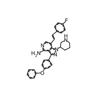 Nc1ncc(C=Cc2ccc(F)cc2)c2c1c(-c1ccc(Oc3ccccc3)cc1)nn2C1CCCNC1